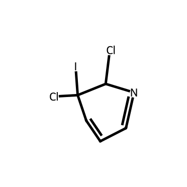 ClC1N=CC=CC1(Cl)I